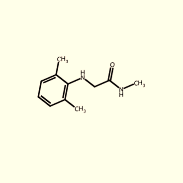 CNC(=O)CNc1c(C)cccc1C